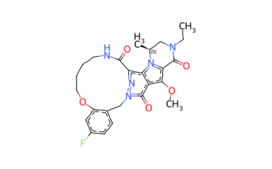 CCN1C[C@H](C)n2c(c(OC)c3c(=O)n4nc(c32)C(=O)NCCCCOc2cc(F)ccc2C4)C1=O